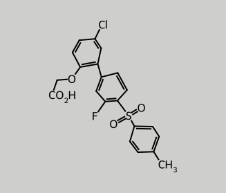 Cc1ccc(S(=O)(=O)c2ccc(-c3cc(Cl)ccc3OCC(=O)O)cc2F)cc1